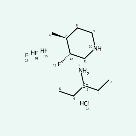 CC[S+](N)CC.C[C@H]1CCNC[C@@H]1F.Cl.F.F.[F-]